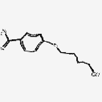 N=C(N)c1ccc(OCCCCO)cc1